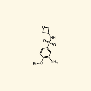 CCOc1ccc(S(=O)(=O)NC2COC2)cc1N